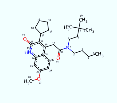 CCCCN(CCC(C)(C)C)C(=O)Cc1c(C2CCCC2)c(=O)[nH]c2cc(OC)ccc12